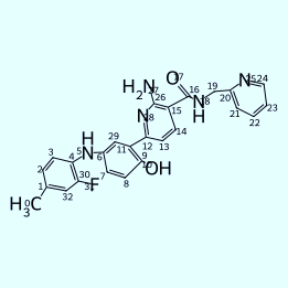 Cc1ccc(Nc2ccc(O)c(-c3ccc(C(=O)NCc4ccccn4)c(N)n3)c2)c(F)c1